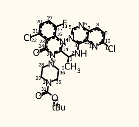 CC(Nc1ncnc2ccc(Cl)nc12)c1nc2c(F)ccc(Cl)c2c(=O)n1N1CCN(C(=O)OC(C)(C)C)CC1